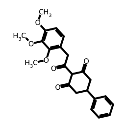 COc1ccc(CC(=O)C2C(=O)CC(c3ccccc3)CC2=O)c(OC)c1OC